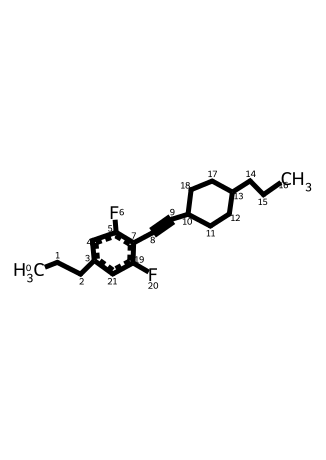 CCCc1cc(F)c(C#CC2CCC(CCC)CC2)c(F)c1